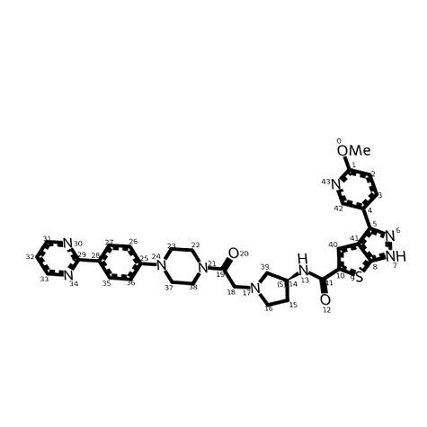 COc1ccc(-c2n[nH]c3sc(C(=O)N[C@H]4CCN(CC(=O)N5CCN(c6ccc(-c7ncccn7)cc6)CC5)C4)cc23)cn1